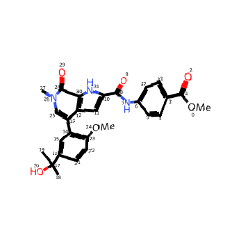 COC(=O)c1ccc(NC(=O)c2cc3c(-c4cc(C(C)(C)O)ccc4OC)cn(C)c(=O)c3[nH]2)cc1